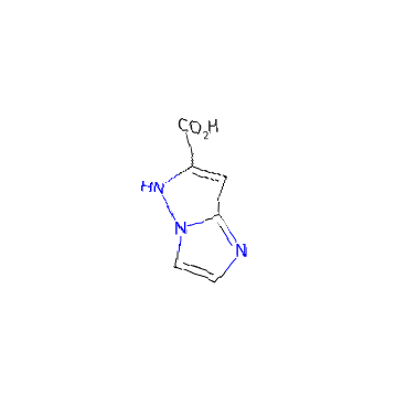 O=C(O)c1cc2nccn2[nH]1